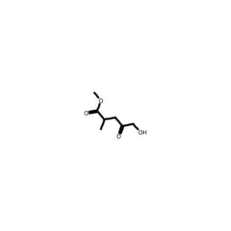 COC(=O)C(C)CC(=O)CO